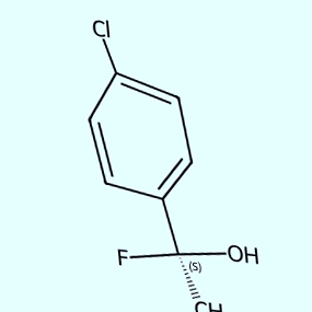 C[C@](O)(F)c1ccc(Cl)cc1